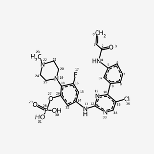 C=CC(=O)Nc1cccc(-c2nc(Nc3cc(F)c(N4CCN(C)CC4)c(OP(=O)(O)O)c3)ncc2Cl)c1